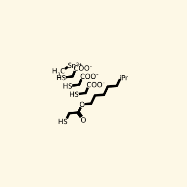 CC(C)CCCCCOC(=O)CS.O=C([O-])CS.O=C([O-])CS.O=C([O-])CS.[CH3][Sn+3]